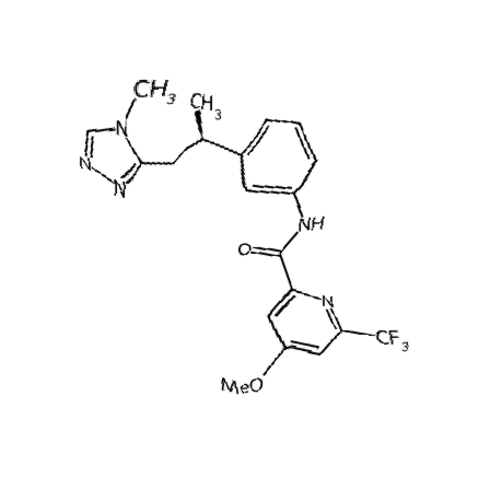 COc1cc(C(=O)Nc2cccc([C@H](C)Cc3nncn3C)c2)nc(C(F)(F)F)c1